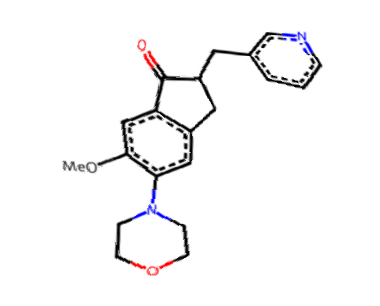 COc1cc2c(cc1N1CCOCC1)CC(Cc1cccnc1)C2=O